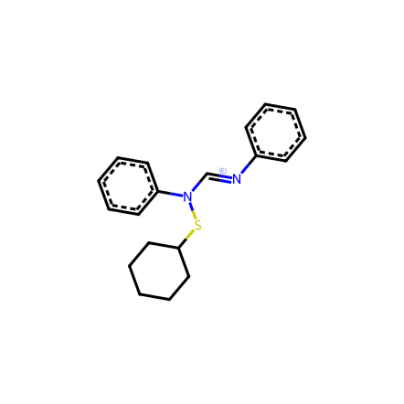 C(=N\c1ccccc1)/N(SC1CCCCC1)c1ccccc1